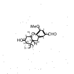 COc1cc(C=O)cc2c1O[C@]1(C)CC(O)[C@@H](C)C(C)(C)[C@H]1C2